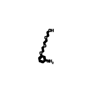 Nc1cccc(OCCOCCOCCO)c1